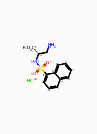 CCOC(=O)[C@H](CN)NS(=O)(=O)c1cccc2ccccc12.Cl